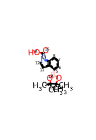 CC1(C)OB(c2cccc3c2ccn3C(=O)O)OC1(C)C